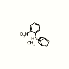 C.O=[N+]([O-])c1ccccc1NC1C2=CC=C1C=C2